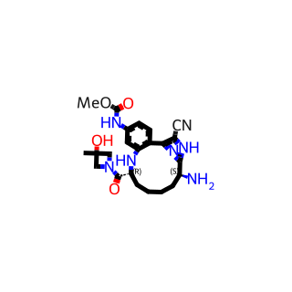 COC(=O)Nc1ccc2c(c1)N[C@@H](C(=O)N1CC(C)(O)C1)CCCC[C@H](N)c1nc-2c(C#N)[nH]1